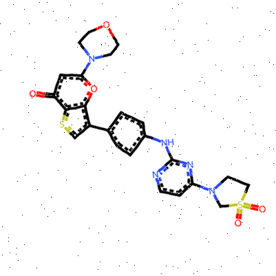 O=c1cc(N2CCOCC2)oc2c(-c3ccc(Nc4nccc(N5CCS(=O)(=O)C5)n4)cc3)csc12